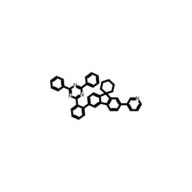 c1ccc(-c2nc(-c3ccccc3)nc(-c3ccccc3-c3ccc4c(c3)-c3ccc(-c5cccnc5)cc3C43CCCCC3)n2)cc1